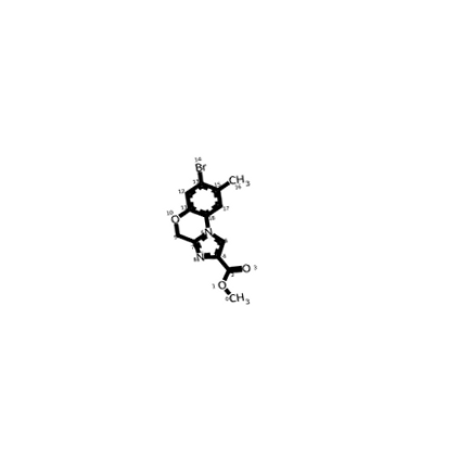 COC(=O)c1cn2c(n1)COc1cc(Br)c(C)cc1-2